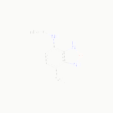 CCCCCNc1ccc([N+](=O)[O-])c2c1NON2